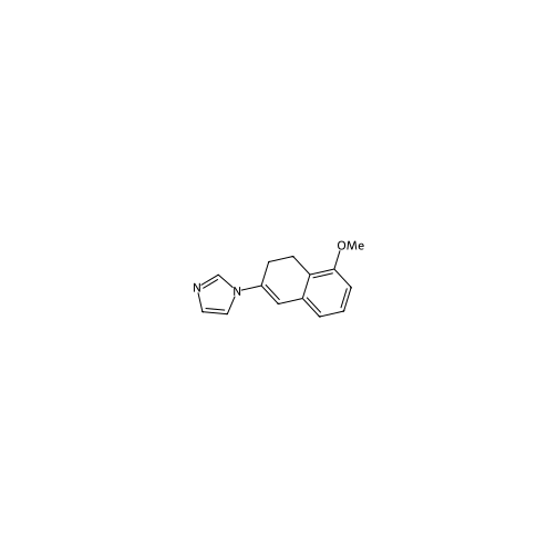 COc1cccc2c1CCC(n1ccnc1)=C2